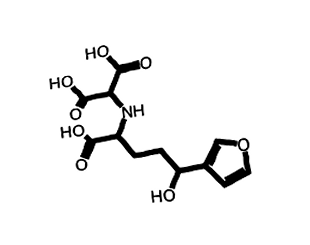 O=C(O)C(CCC(O)c1ccoc1)NC(C(=O)O)C(=O)O